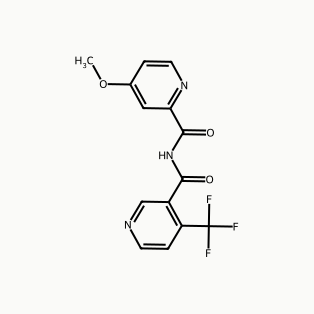 COc1ccnc(C(=O)NC(=O)c2cnccc2C(F)(F)F)c1